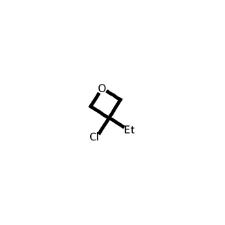 CCC1(Cl)COC1